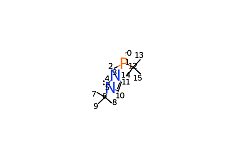 C[P@@](CN1[C]N(C(C)(C)C)C=C1)C(C)(C)C